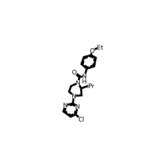 CCOc1ccc(NC(=O)N2CCN(c3nccc(Cl)n3)CC2C(C)C)cc1